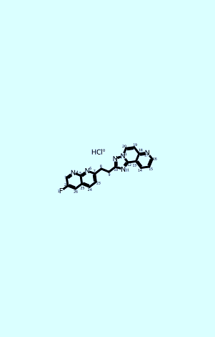 Cl.Fc1cnc2nc(CCc3nc4c5cccnc5ccn4n3)ccc2c1